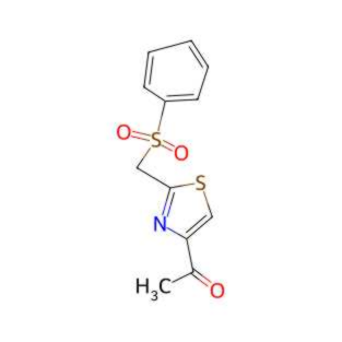 CC(=O)c1csc(CS(=O)(=O)c2ccccc2)n1